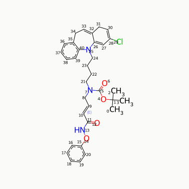 CC(C)(C)OC(=O)N(C/C=C/C(=O)NOc1ccccc1)CCCCN1C2=CC(Cl)=CCC2=CCc2ccccc21